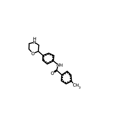 Cc1ccc(C(=O)Nc2ccc(C3CNCCO3)cc2)cc1